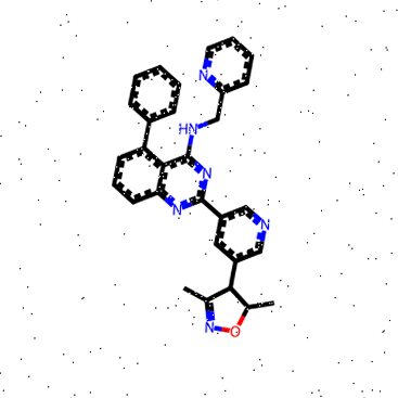 CC1=NOC(C)C1c1cncc(-c2nc(NCc3ccccn3)c3c(-c4ccccc4)cccc3n2)c1